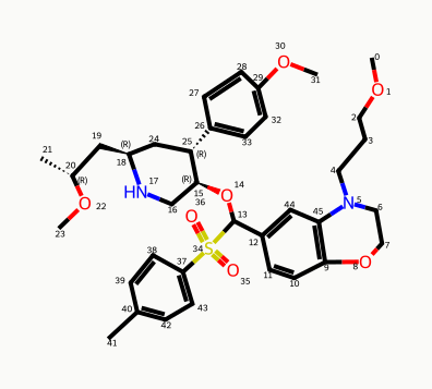 COCCCN1CCOc2ccc(C(O[C@H]3CN[C@@H](C[C@@H](C)OC)C[C@@H]3c3ccc(OC)cc3)S(=O)(=O)c3ccc(C)cc3)cc21